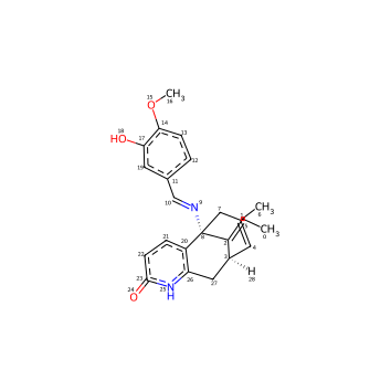 C/C=C1\[C@H]2C=C(C)C[C@]1(N=Cc1ccc(OC)c(O)c1)c1ccc(=O)[nH]c1C2